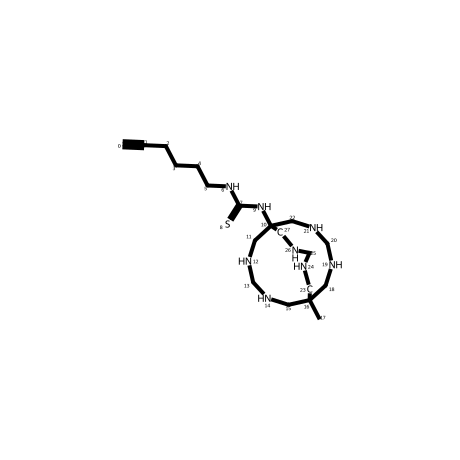 C#CCCCCNC(=S)NC12CNCNCC(C)(CNCNC1)CNCNC2